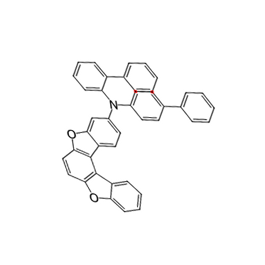 c1ccc(-c2ccc(N(c3ccc4c(c3)oc3ccc5oc6ccccc6c5c34)c3ccccc3-c3ccccc3)cc2)cc1